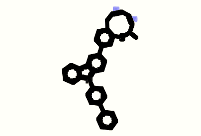 CC1/C=C\C=C/Cc2ccc(-c3ccc4c(c3)c3ccccc3n4-c3ccc(-c4ccccc4)cc3)cc2S1